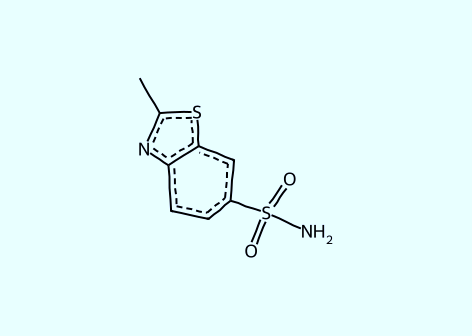 Cc1nc2ccc(S(N)(=O)=O)cc2s1